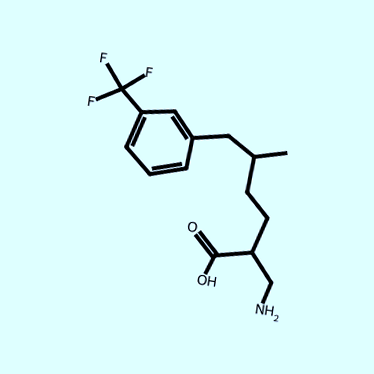 CC(CCC(CN)C(=O)O)Cc1cccc(C(F)(F)F)c1